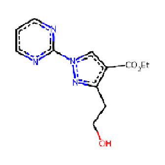 CCOC(=O)c1cn(-c2ncccn2)nc1CCO